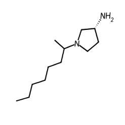 CCCCCCC(C)N1CC[C@@H](N)C1